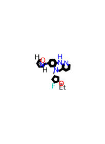 CCO[C@H]1C[C@@H](CN2Cc3cccnc3Nc3ccc(N4C[C@H]5CC[C@@H]4CO5)cc32)C[C@@H]1F